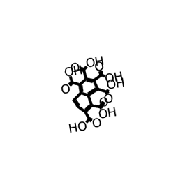 O=C(O)c1ccc2c(C(=O)O)c(C(=O)O)c(C(=O)O)c(C(=O)O)c2c1C(=O)O